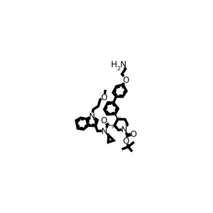 COCCCn1cc(CN(C(=O)[C@H]2CN(C(=O)OC(C)(C)C)CC[C@@H]2c2cccc(-c3ccc(OCCN)cc3)c2)C2CC2)c2ccccc21